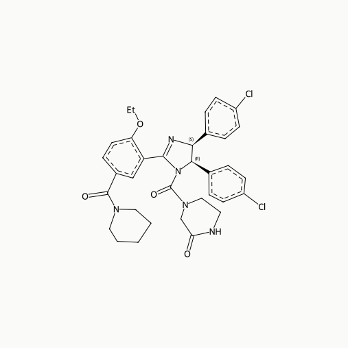 CCOc1ccc(C(=O)N2CCCCC2)cc1C1=N[C@@H](c2ccc(Cl)cc2)[C@@H](c2ccc(Cl)cc2)N1C(=O)N1CCNC(=O)C1